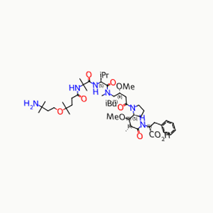 CC[C@H](C)C([C@@H](CC(=O)N1CCC[C@H]1[C@H](OC)[C@@H](C)C(=O)N[C@@H](Cc1ccccc1)C(=O)O)OC)N(C)C(=O)[C@@H](NC(=O)C(C)(C)NC(=O)CCC(C)(C)OCCC(C)(C)N)C(C)C